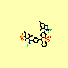 Cc1cc(C)c(N(c2ccc(C(c3ccc(N(c4c(C)cc(C)c(S(=O)(=O)O)c4C)C(F)(F)F)cc3)c3ccccc3S(=O)(=O)O)cc2)C(F)(F)F)c(C)c1